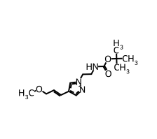 COCC=Cc1cnn(CCNC(=O)OC(C)(C)C)c1